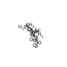 CC(C)C[C@H](NC(=O)c1ccc(N(C)C)cc1)C(=O)N1CCC2C1C(=O)CN2C(=O)C1CCCO1